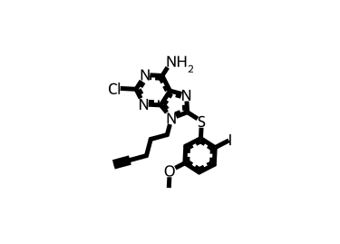 C#CCCCn1c(Sc2cc(OC)ccc2I)nc2c(N)nc(Cl)nc21